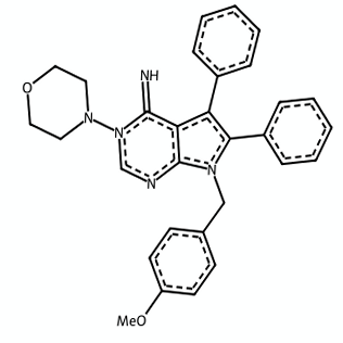 COc1ccc(Cn2c(-c3ccccc3)c(-c3ccccc3)c3c(=N)n(N4CCOCC4)cnc32)cc1